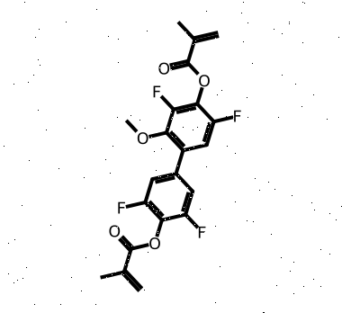 C=C(C)C(=O)Oc1c(F)cc(-c2cc(F)c(OC(=O)C(=C)C)c(F)c2OC)cc1F